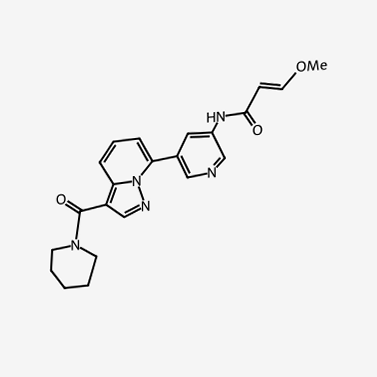 COC=CC(=O)Nc1cncc(-c2cccc3c(C(=O)N4CCCCC4)cnn23)c1